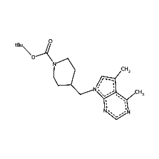 Cc1cn(CC2CCN(C(=O)OC(C)(C)C)CC2)c2ncnc(C)c12